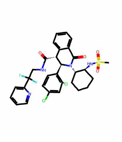 CS(=O)(=O)N[C@H]1CCCC[C@@H]1N1C(=O)c2ccccc2[C@@H](C(=O)NCC(F)(F)c2ccccn2)[C@@H]1c1ccc(Cl)cc1Cl